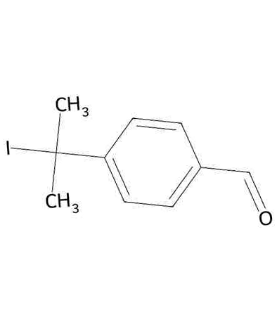 CC(C)(I)c1ccc(C=O)cc1